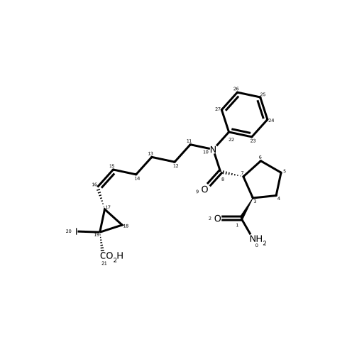 NC(=O)[C@@H]1CCC[C@H]1C(=O)N(CCCC/C=C\[C@@H]1C[C@]1(I)C(=O)O)c1ccccc1